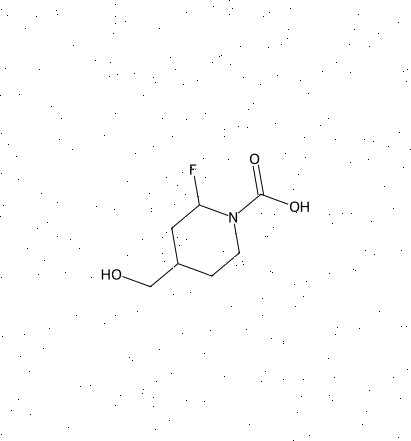 O=C(O)N1CCC(CO)CC1F